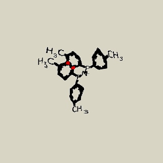 Cc1ccc(P([N]P(c2ccc(C)cc2)c2ccc(C)cc2)c2ccc(C)cc2)cc1